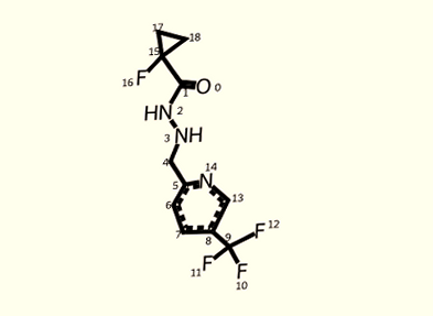 O=C(NNCc1ccc(C(F)(F)F)cn1)C1(F)CC1